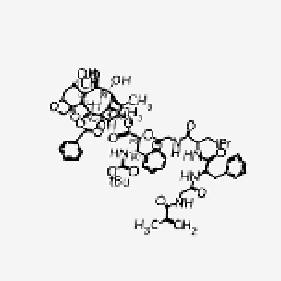 C=C(C)C(=O)NCC(=O)NC(Cc1ccccc1)C(=O)NC(CC(C)C)C(=O)NCC(=O)O[C@@H](C(=O)O[C@H]1C[C@@]2(O)[C@@H](OC(=O)c3ccccc3)[C@H]3[C@](C)(C(=O)[C@H](O)C(=C1C)C2(C)C)[C@@H](O)CC1OC[C@]13OC(C)=O)[C@@H](NC(=O)OC(C)(C)C)c1ccccc1